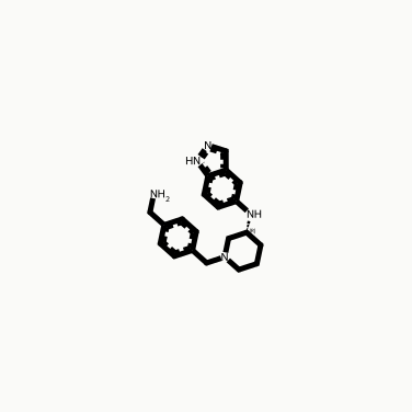 NCc1ccc(CN2CCC[C@@H](Nc3ccc4[nH]ncc4c3)C2)cc1